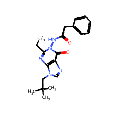 CCc1nc2c(ncn2CC(C)(C)C)c(=O)n1NC(=O)Cc1ccccc1